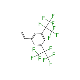 C=Cc1cc(C(F)(C(F)(F)F)C(F)(F)F)cc(C(F)(C(F)(F)F)C(F)(F)F)c1